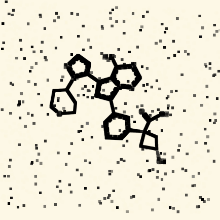 Nc1ncnn2c(-c3cccc([C@]4(C(=O)O)C[C@@H](O)C4)c3)cc(-c3ccnn3C3CCOCC3)c12